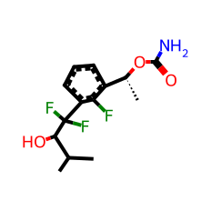 CC(C)C(O)C(F)(F)c1cccc([C@@H](C)OC(N)=O)c1F